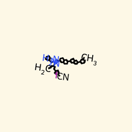 C=C/C=C(\C=C\C(\C=C/CC#N)=C\I)C(=N/C(N)C1=CC2=C(C=C(c3ccc4cc(-c5cccc(C)c5)ccc4c3)CC2)CC1)/N=C/C1=CCCC=C1